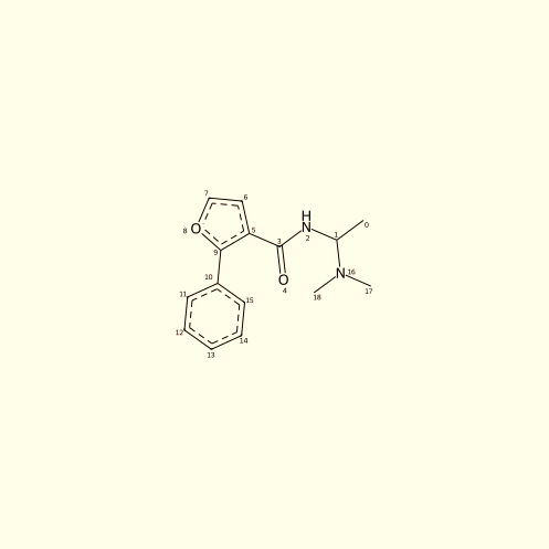 CC(NC(=O)c1ccoc1-c1ccccc1)N(C)C